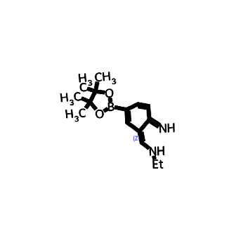 CCN/C=C1/C=C(B2OC(C)(C)C(C)(C)O2)C=CC1=N